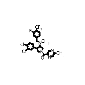 Cc1cnc(C(=O)N2CC(c3ccc(Cl)c(Cl)c3)C(N(C)Cc3ccc(C(F)(F)F)c(F)c3)C2)cn1